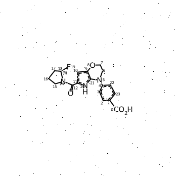 O=C(O)c1ccc(N2CCOc3cc(C(=O)N4CCC[C@H]4F)[nH]c32)cc1